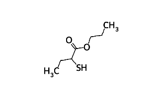 CCCOC(=O)C(S)CC